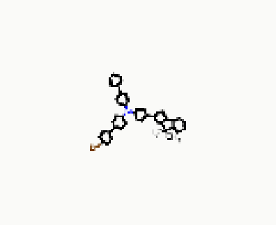 CC1(C)c2ccccc2-c2ccc(-c3ccc(N(c4ccc(-c5ccccc5)cc4)c4ccc(-c5ccc(Br)cc5)cc4)cc3)cc21